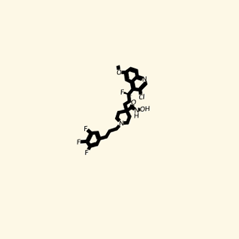 COc1ccc2ncc(Cl)c([C@H](F)CCC3(C(=O)NO)CCN(CCCc4cc(F)c(F)c(F)c4)CC3)c2c1